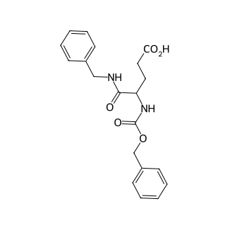 O=C(O)CCC(NC(=O)OCc1ccccc1)C(=O)NCc1ccccc1